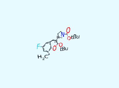 C=Cc1cc(F)cc(C[C@H](C(=O)OC(C)(C)C)[C@H]2CCN(C(=O)OC(C)(C)C)C2)c1